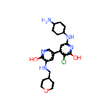 NC1CCC(Nc2cc(-c3cnc(O)c(NCC4CCOCC4)c3)c(Cl)c(O)n2)CC1